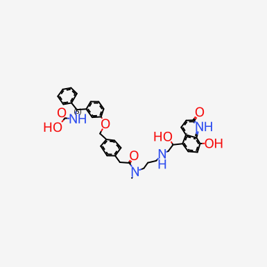 CN(CCCNCC(O)c1ccc(O)c2[nH]c(=O)ccc12)C(=O)Cc1ccc(COc2cccc([C@@H](NC(=O)O)c3ccccc3)c2)cc1